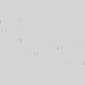 CCC(=O)C(CNc1ccc(C2(O)CCN(C(=O)OC(C)(C)C)CC2)cc1)C(=O)O